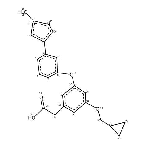 Cn1cc(-c2cccc(Oc3cc(CC(=O)O)cc(OCC4CC4)c3)c2)cn1